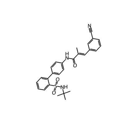 C/C(=C\c1cccc(C#N)c1)C(=O)Nc1ccc(-c2ccccc2S(=O)(=O)NC(C)(C)C)cc1